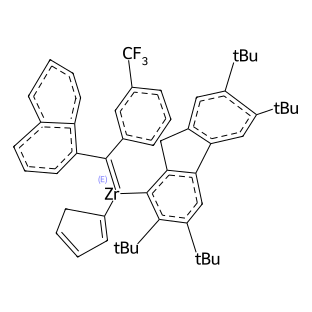 CC(C)(C)c1cc2c(cc1C(C)(C)C)-c1cc(C(C)(C)C)c(C(C)(C)C)[c](/[Zr]([C]3=CC=CC3)=[C](\c3cccc(C(F)(F)F)c3)c3cccc4ccccc34)c1C2